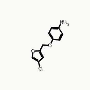 Nc1ccc(OCc2cc(Cl)co2)cc1